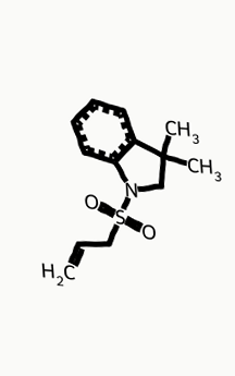 C=CCS(=O)(=O)N1CC(C)(C)c2ccccc21